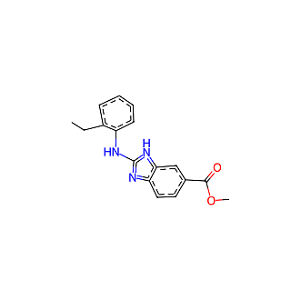 CCc1ccccc1Nc1nc2ccc(C(=O)OC)cc2[nH]1